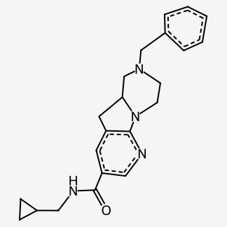 O=C(NCC1CC1)c1cnc2c(c1)CC1CN(Cc3ccccc3)CCN21